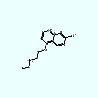 CCNCCNc1ccnc2cc(Cl)ccc12